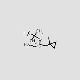 CC[C@@H](CC1(I)CC1)OC(C)(C)C